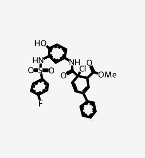 COC(=O)C1C=C(c2ccccc2)C=CC1(Cl)C(=O)Nc1ccc(O)c(NS(=O)(=O)c2ccc(F)cc2)c1